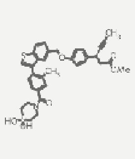 CC#C[C@@H](CC(=O)OC)c1ccc(OCc2ccc3scc(-c4ccc(C(=O)N5CCS(O)(O)CC5)cc4C)c3c2)cc1